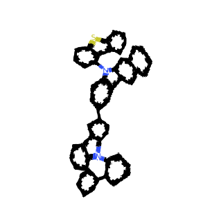 c1ccc(-c2ccccc2-n2c3ccccc3c3cc(-c4ccc5c(c4)c4cc6ccccc6cc4n5-c4cccc5sc6ccccc6c45)ccc32)cc1